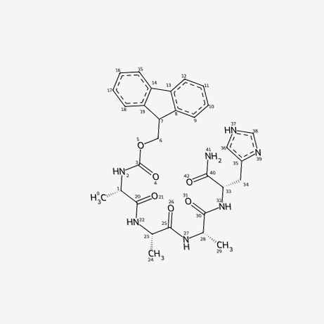 C[C@H](NC(=O)OCC1c2ccccc2-c2ccccc21)C(=O)N[C@@H](C)C(=O)N[C@@H](C)C(=O)N[C@@H](Cc1c[nH]cn1)C(N)=O